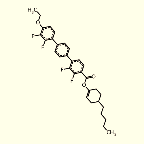 CCCCCC1CC=C(OC(=O)c2ccc(-c3ccc(-c4ccc(OCC)c(F)c4F)cc3)c(F)c2F)CC1